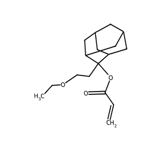 C=CC(=O)OC1(CCOCC)C2CC3CC(C2)CC1C3